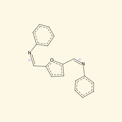 C(=N/c1ccccc1)/c1ccc(/C=N\c2ccccc2)o1